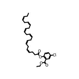 CC/C=C\C/C=C\C/C=C\C/C=C\C/C=C\C/C=C\CCC(=O)Oc1ccc(Cl)cc1C(=O)OCC